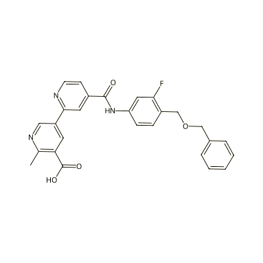 Cc1ncc(-c2cc(C(=O)Nc3ccc(COCc4ccccc4)c(F)c3)ccn2)cc1C(=O)O